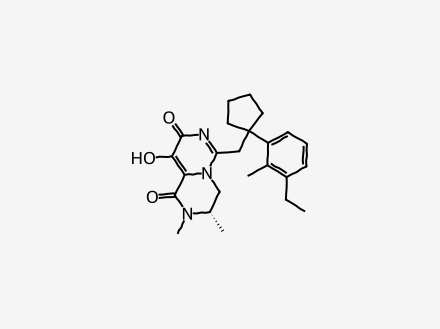 CCc1cccc(C2(Cc3nc(=O)c(O)c4n3C[C@H](C)N(C)C4=O)CCCC2)c1C